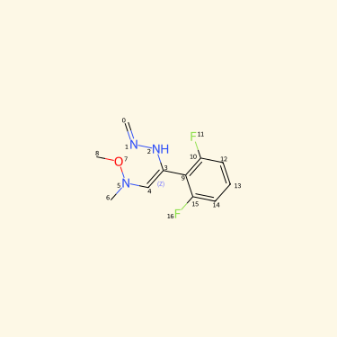 C=NN/C(=C\N(C)OC)c1c(F)cccc1F